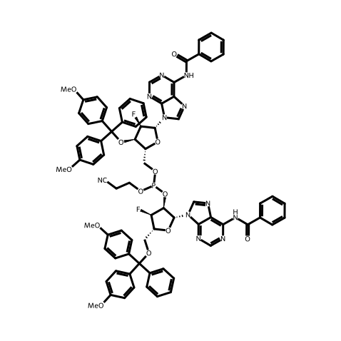 COc1ccc(C(OC[C@H]2O[C@@H](n3cnc4c(NC(=O)c5ccccc5)ncnc43)[C@H](OP(OCCC#N)OC[C@H]3O[C@@H](n4cnc5c(NC(=O)c6ccccc6)ncnc54)[C@H](F)[C@@H]3OC(c3ccccc3)(c3ccc(OC)cc3)c3ccc(OC)cc3)[C@@H]2F)(c2ccccc2)c2ccc(OC)cc2)cc1